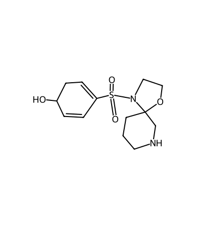 O=S(=O)(C1=CCC(O)C=C1)N1CCOC12CCCNC2